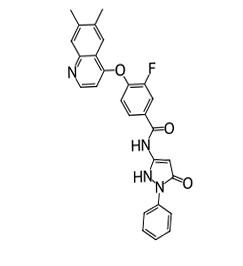 Cc1cc2nccc(Oc3ccc(C(=O)Nc4cc(=O)n(-c5ccccc5)[nH]4)cc3F)c2cc1C